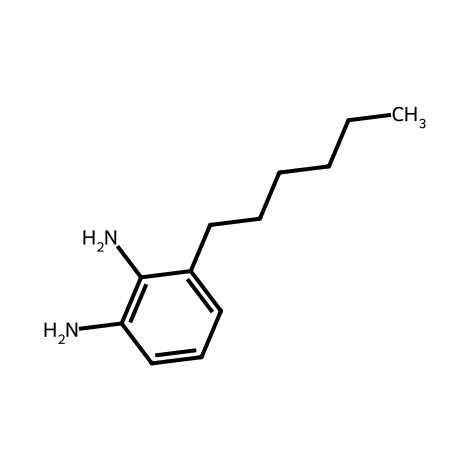 CCCCCCc1cccc(N)c1N